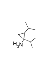 CC(C)C1CC1(N)C(C)C